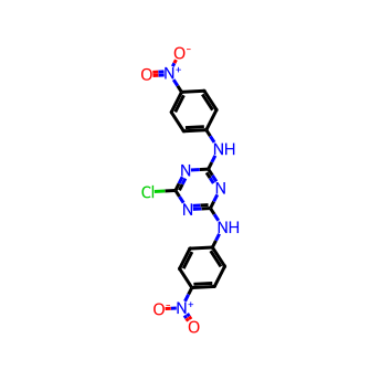 O=[N+]([O-])c1ccc(Nc2nc(Cl)nc(Nc3ccc([N+](=O)[O-])cc3)n2)cc1